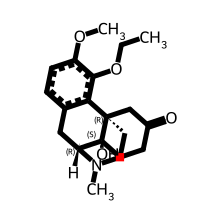 CCOc1c(OC)ccc2c1[C@]13CCN(C)[C@H](C2)[C@]1(O)CCC(=O)C3